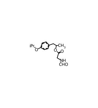 CC(C)Oc1ccc(CC(C)OC(=O)CNC=O)cc1